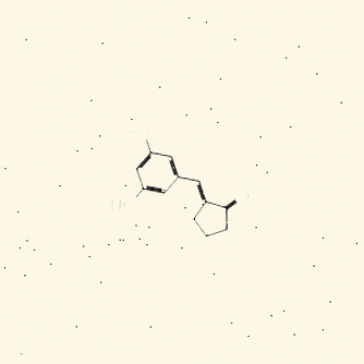 O=C1CCC/C1=C\c1cc(O)cc(O)c1